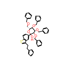 O[C@@]1(c2ccc3scc(CCc4ccccc4)c3c2)O[C@H](COCc2ccccc2)[C@@H](OCc2ccccc2)[C@H](OCc2ccccc2)[C@H]1OCc1ccccc1